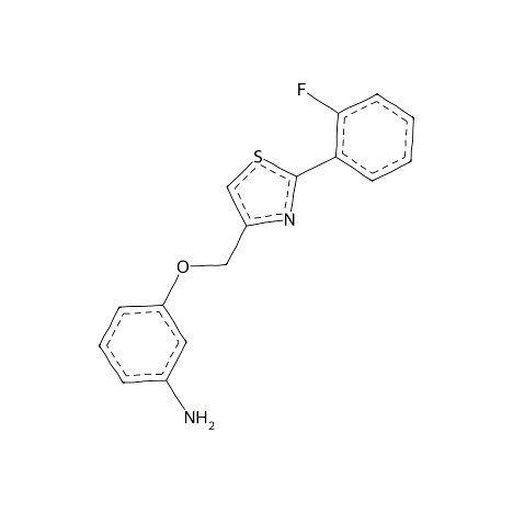 Nc1cccc(OCc2csc(-c3ccccc3F)n2)c1